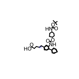 CC(C)(C)OC(=O)N[C@H]1CC[C@H](OC(=O)Nc2cc(/C=C/CCC(=O)O)ccc2-c2ccccc2)CC1